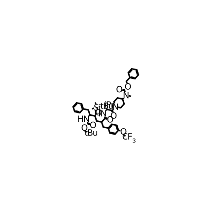 CC(C)[C@H](NC(=O)C(Cc1ccc(OC(F)(F)F)cc1)CC(O[Si](C)(C)C(C)(C)C)C(Cc1ccccc1)NC(=O)OC(C)(C)C)C(=O)N1CCC(N(C)C(=O)OCc2ccccc2)CC1